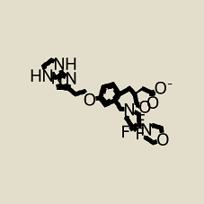 O=C([O-])C[C@@H]1Cc2ccc(OCCc3cn4c(n3)NCCN4)cc2C[N+](CCN2CCOCC2)(CC(F)(F)F)C1=O